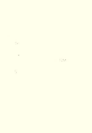 CNC(=O)c1c(-c2ccc(C)cc2)oc2cc(N(C)S(C)(=O)=O)c([C@H]3CCCN(S(=O)(=O)c4ccccc4C)C3)cc12